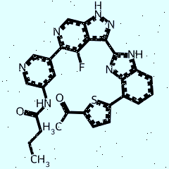 CCCC(=O)Nc1cncc(-c2ncc3[nH]nc(-c4nc5c(-c6ccc(C(C)=O)s6)cccc5[nH]4)c3c2F)c1